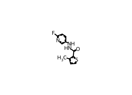 Cc1ccsc1C(=O)NNc1ccc(F)nc1